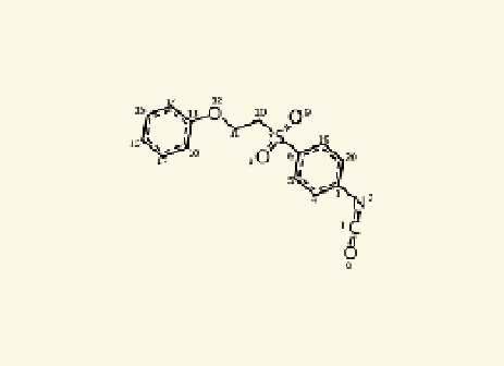 O=C=Nc1ccc(S(=O)(=O)CCOc2ccccc2)cc1